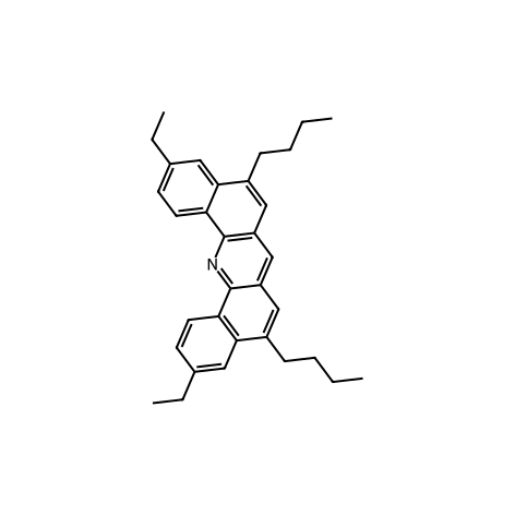 CCCCc1cc2cc3cc(CCCC)c4cc(CC)ccc4c3nc2c2ccc(CC)cc12